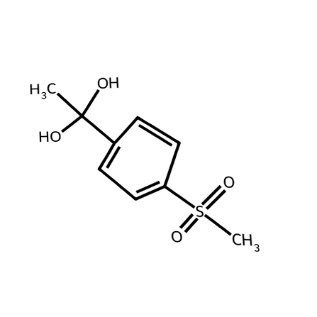 CC(O)(O)c1ccc(S(C)(=O)=O)cc1